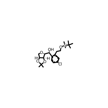 CC1(C)O[C@@H]2[C@@H]([C@H](O)c3ccc(Cl)cc3CCO[Si](C)(C)C(C)(C)C)OC[C@@H]2O1